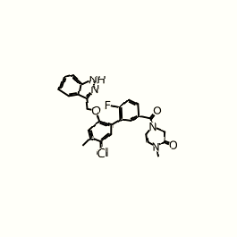 Cc1cc(OCc2n[nH]c3ccccc23)c(-c2cc(C(=O)N3CCN(C)C(=O)C3)ccc2F)cc1Cl